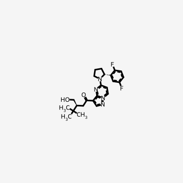 CC(C)(C)[C@@H](CO)CC(=O)c1cnn2ccc(N3CCC[C@@H]3c3cc(F)ccc3F)nc12